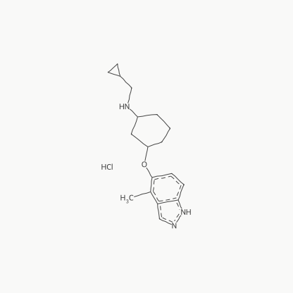 Cc1c(OC2CCCC(NCC3CC3)C2)ccc2[nH]ncc12.Cl